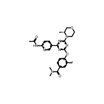 CC(=O)Nc1ccc(-c2nc(Oc3ccc(C(=O)N(C)C)cc3F)nc(N3CCOC[C@@H]3C)n2)cn1